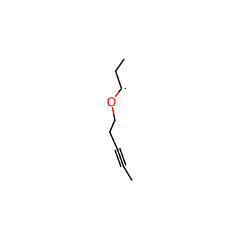 CC#CCCO[CH]CC